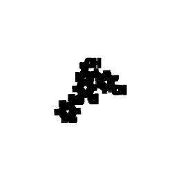 N#Cc1ccc(Cn2c(CO)nc3cc(OCc4ccccc4)c(Cl)cc32)cc1